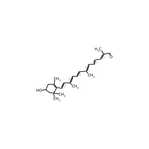 CC1=C(/C=C/C(C)=C/C=C/C(C)=C/C=C/C=C(\C)C=O)C(C)(C)CC(O)C1